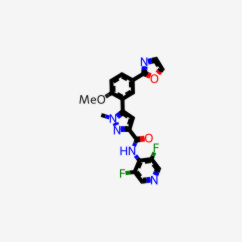 COc1ccc(-c2ncco2)cc1-c1cc(C(=O)Nc2c(F)cncc2F)nn1C